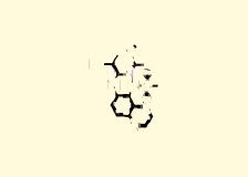 C=N/C(Cl)=N\C(Nc1ccc2nccnc2c1NS(C)(=O)=O)=C(/C)Br